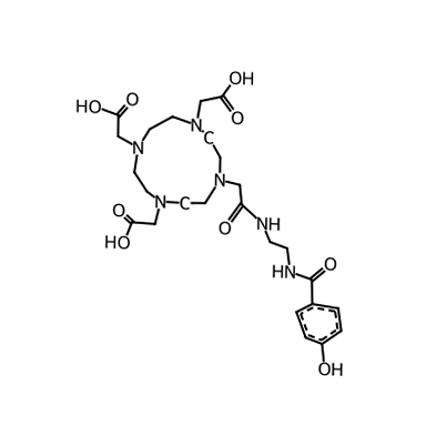 O=C(O)CN1CCN(CC(=O)O)CCN(CC(=O)NCCNC(=O)c2ccc(O)cc2)CCN(CC(=O)O)CC1